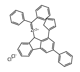 C1=CCC(c2cc(-c3ccccc3)cc3c2[CH]([Zr+2]=[C](c2ccccc2)c2ccccc2)c2ccccc2-3)=C1.[Cl-].[Cl-]